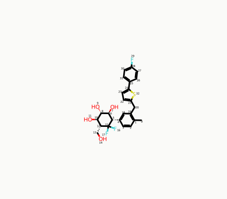 Cc1ccc([C@H]2[C@H](O)[C@@H](O)[C@H](O)[C@@H](CO)C2(F)F)cc1Cc1ccc(-c2ccc(F)cc2)s1